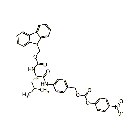 CC(C)C[C@H](NC(=O)OCC1c2ccccc2-c2ccccc21)C(=O)Nc1ccc(COC(=O)Oc2ccc([N+](=O)[O-])cc2)cc1